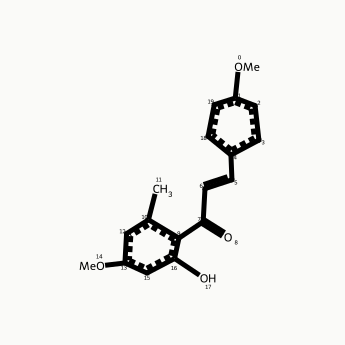 COc1ccc(/C=C/C(=O)c2c(C)cc(OC)cc2O)cc1